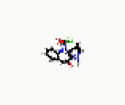 Cc1cn(C)c2c1N(C(=O)Cl)c1ccccc1CC2=O